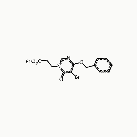 CCOC(=O)CCn1cnc(OCc2ccccc2)c(Br)c1=O